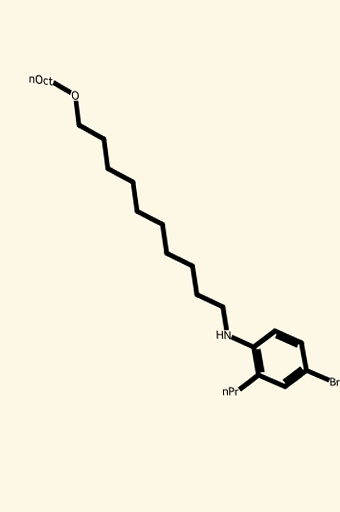 CCCCCCCCOCCCCCCCCCCNc1ccc(Br)cc1CCC